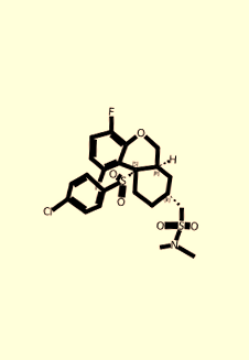 CN(C)S(=O)(=O)C[C@@H]1CC[C@@]2(S(=O)(=O)c3ccc(Cl)cc3)c3c(F)ccc(F)c3OC[C@H]2C1